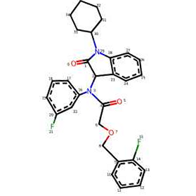 O=C1C(N(C(=O)COCc2ccccc2F)c2cccc(F)c2)c2ccccc2N1C1CCCCC1